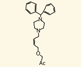 CC(=O)COC/C=C\CN1CCN(C(c2ccccc2)c2ccccc2)CC1